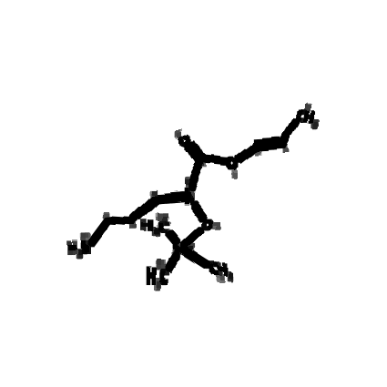 CC=COC(=O)N(CCC[SiH3])O[Si](C)(C)C